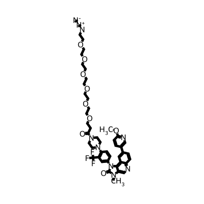 COc1ccc(-c2ccc3ncc4c(c3c2)n(-c2ccc(N3CCN(C(=O)CCOCCOCCOCCOCCOCCOCCN=[N+]=[N-])CC3)c(C(F)(F)F)c2)c(=O)n4C)cn1